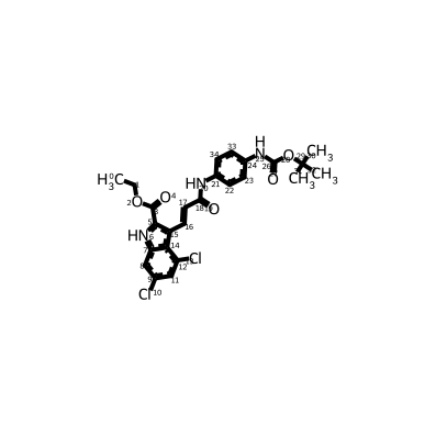 CCOC(=O)c1[nH]c2cc(Cl)cc(Cl)c2c1/C=C/C(=O)Nc1ccc(NC(=O)OC(C)(C)C)cc1